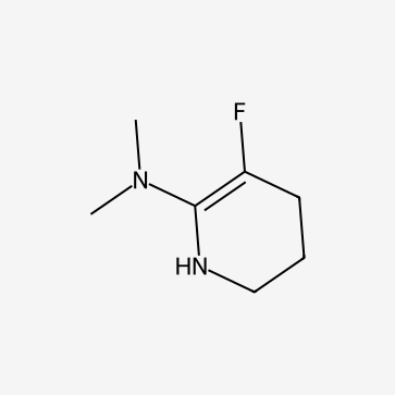 CN(C)C1=C(F)CCCN1